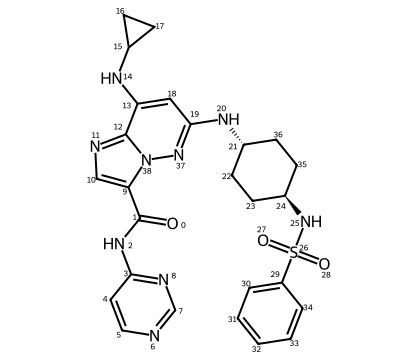 O=C(Nc1ccncn1)c1cnc2c(NC3CC3)cc(N[C@H]3CC[C@H](NS(=O)(=O)c4ccccc4)CC3)nn12